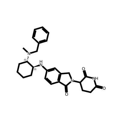 CN(Cc1ccccc1)[C@H]1CCCC[C@@H]1Nc1ccc2c(c1)CN(C1CCC(=O)NC1=O)C2=O